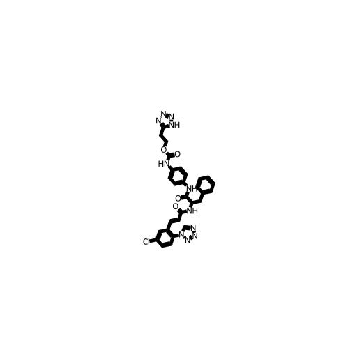 O=C(C=Cc1cc(Cl)ccc1-n1cnnn1)NC(Cc1ccccc1)C(=O)Nc1ccc(NC(=O)OCCc2nnn[nH]2)cc1